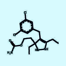 CCC1=C(Cc2cc(Cl)cc(Cl)c2)C(CC)(CCOC(N)=O)NN1